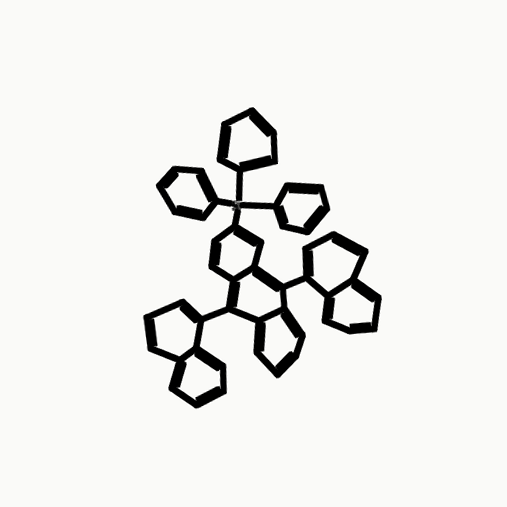 c1ccc([Si](c2ccccc2)(c2ccccc2)c2ccc3c(-c4cccc5ccccc45)c4ccccc4c(-c4cccc5ccccc45)c3c2)cc1